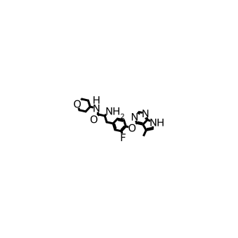 Cc1c[nH]c2ncnc(Oc3ccc(CC(N)C(=O)NC4CCOCC4)cc3F)c12